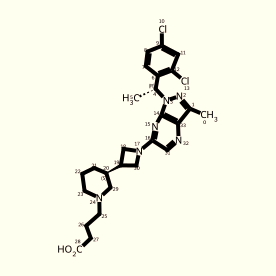 Cc1nn([C@H](C)c2ccc(Cl)cc2Cl)c2nc(N3CC([C@@H]4CCCN(CCCC(=O)O)C4)C3)cnc12